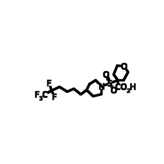 O=C(O)C1(S(=O)(=O)N2CCC(CCCCC(F)(F)C(F)(F)F)CC2)CCOCC1